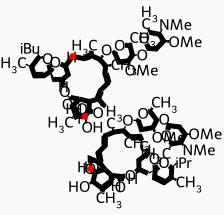 CC[C@H](C)[C@H]1O[C@]2(C=C[C@@H]1C)C[C@@H]1C[C@@H](C/C=C(\C)[C@@H](O[C@H]3C[C@H](OC)[C@@H](O[C@H]4C[C@H](OC)[C@@H](NC)[C@H](C)O4)[C@H](C)O3)[C@@H](C)/C=C/C=C3\CO[C@@H]4[C@H](O)C(C)=C[C@@H](C(=O)O1)[C@]34O)O2.CN[C@H]1[C@H](C)O[C@@H](O[C@H]2[C@H](C)O[C@@H](O[C@@H]3/C(C)=C/C[C@@H]4C[C@@H](C[C@]5(C=C[C@H](C)[C@@H](C(C)C)O5)O4)OC(=O)[C@@H]4C=C(C)[C@@H](O)[C@H]5OC/C(=C/C=C/[C@@H]3C)[C@]54O)C[C@@H]2OC)C[C@@H]1OC